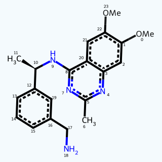 COc1cc2nc(C)nc(N[C@H](C)c3cccc(CN)c3)c2cc1OC